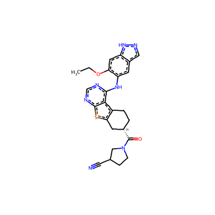 CCOc1cc2[nH]ncc2cc1Nc1ncnc2sc3c(c12)CC[C@H](C(=O)N1CCC(C#N)C1)C3